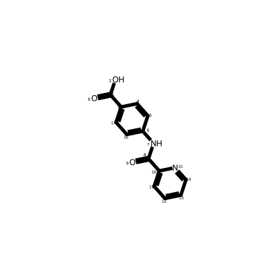 O=C(O)c1ccc(NC(=O)c2ccccn2)cc1